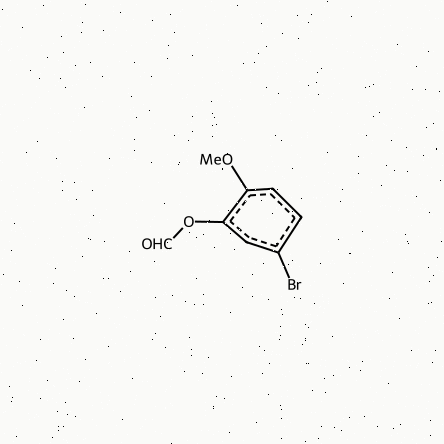 COc1ccc(Br)cc1OC=O